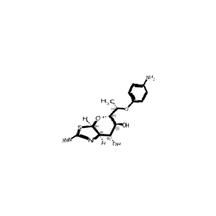 CNC1=N[C@@H]2[C@@H](O)[C@H](O)[C@@H]([C@H](C)Oc3ccc(N)cc3)O[C@@H]2S1